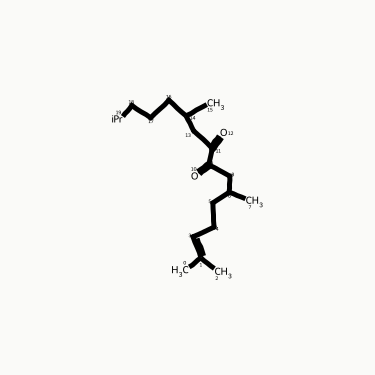 CC(C)=CCCC(C)CC(=O)C(=O)CC(C)CCCC(C)C